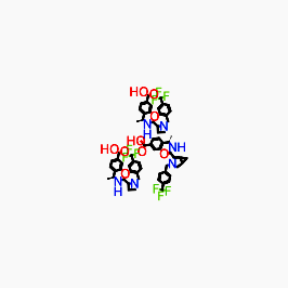 C[C@H](NC(=O)C1C2CC2CN1Cc1ccc(C(F)(F)F)cc1)c1ccc(C(=O)O)cc1.C[C@H](NC(=O)C1CCN1Cc1ccc(C(F)(F)F)cc1)c1ccc(C(=O)O)cc1.C[C@H](NC(=O)C1CCN1Cc1ccc(C(F)(F)F)cc1)c1ccc(C(=O)O)cc1